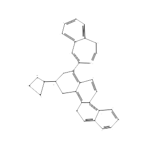 [c]1ccc2c(c1)C=C(C1=c3ccc4c(c3CC(C3CCC3)C1)CC=c1ccccc1=4)N=CC2